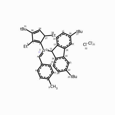 CCC1=[C](/[Zr+2](=[CH]/c2ccc(C)cc2)[CH]2c3ccc(C(C)(C)C)cc3-c3cc(C(C)(C)C)ccc32)C(CC)C=C1C(C)(C)C.[Cl-].[Cl-]